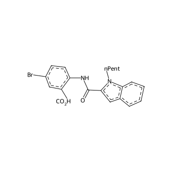 CCCCCn1c(C(=O)Nc2ccc(Br)cc2C(=O)O)cc2ccccc21